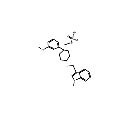 COc1cccc([C@]2(CNS(N)(=O)=O)CC[C@@H](NCc3cn(C)c4ccccc34)CC2)c1